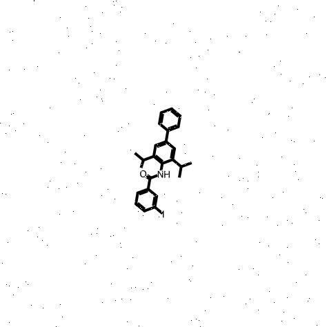 CC(C)c1cc(-c2ccccc2)cc(C(C)C)c1NC(=O)c1cccc(I)c1